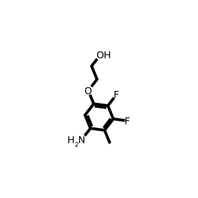 Cc1c(N)cc(OCCO)c(F)c1F